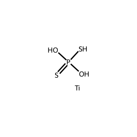 OP(O)(=S)S.[Ti]